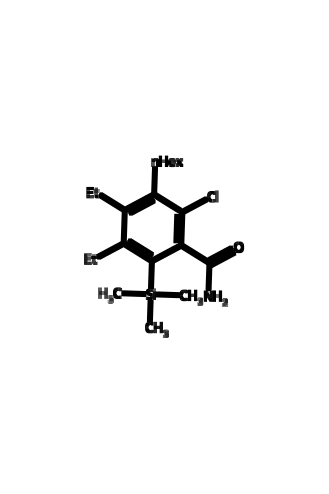 CCCCCCc1c(Cl)c(C(N)=O)c([Si](C)(C)C)c(CC)c1CC